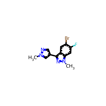 Cn1cc(-c2nn(C)c3cc(F)c(Br)cc23)cn1